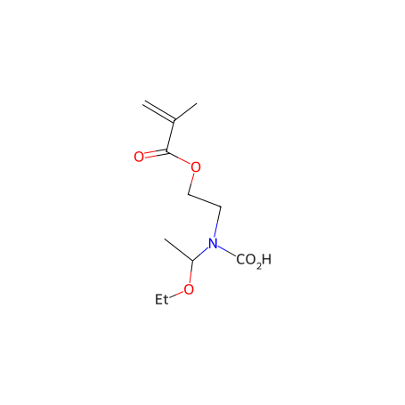 C=C(C)C(=O)OCCN(C(=O)O)C(C)OCC